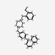 CCc1ccccc1CN1CCN(Cc2ccc(-c3cccc4cccnc34)cc2)CC1